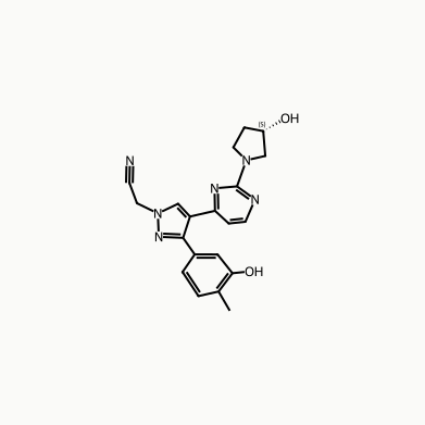 Cc1ccc(-c2nn(CC#N)cc2-c2ccnc(N3CC[C@H](O)C3)n2)cc1O